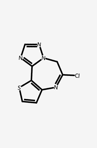 ClC1=Nc2ccsc2-c2ncnn2C1